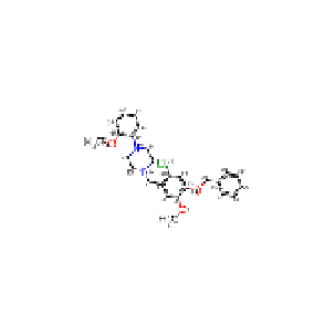 COc1cc(CN2CCN(c3ccccc3OC)CC2)c(Cl)cc1OCc1ccccc1